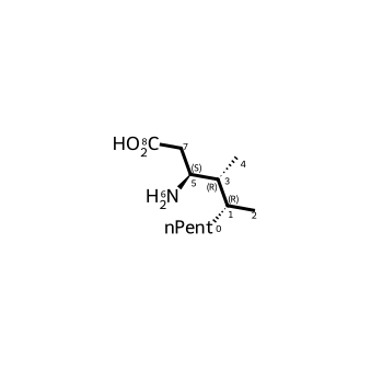 CCCCC[C@@H](C)[C@@H](C)[C@@H](N)CC(=O)O